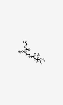 CN(CCNC(=O)OC(C)(C)C)C(=O)OCCl